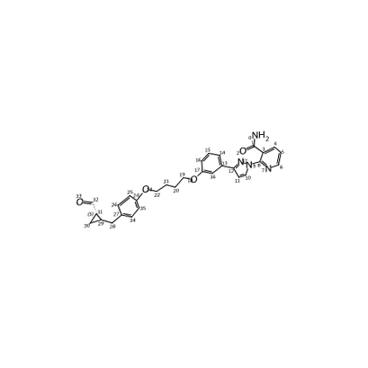 NC(=O)c1cccnc1-n1ccc(-c2cccc(OCCCCOc3ccc(CC4C[C@@H]4C=O)cc3)c2)n1